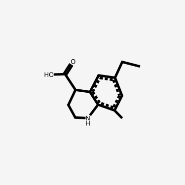 CCc1cc(C)c2c(c1)C(C(=O)O)CCN2